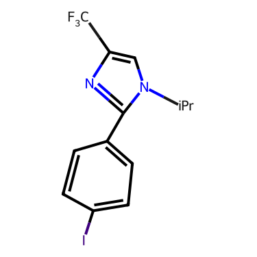 CC(C)n1cc(C(F)(F)F)nc1-c1ccc(I)cc1